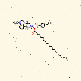 CCCCCCCCCCCCCCCCCCCC(=O)OC[N+]1(CCCC(=O)c2ccc(CC)cc2)CC[C@H]2[C@@H](C1)c1cccc3c1N2CCN3C